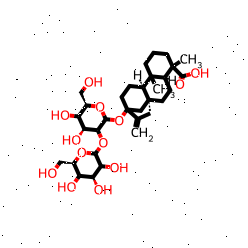 C=C1C[C@@]23CC[C@@H]4C(C)(C(=O)O)CCCC4(C)[C@@H]2CCC1(OC1O[C@H](CO)C(O)[C@H](O)C1OC1O[C@H](CO)C(O)[C@H](O)C1O)C3